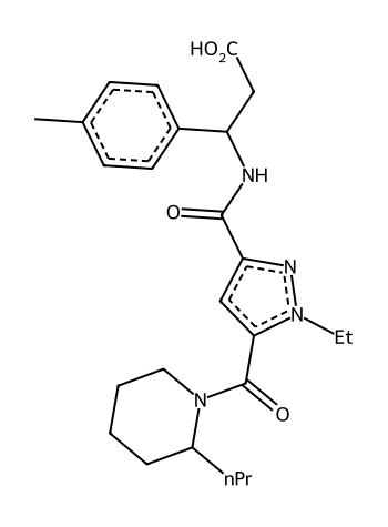 CCCC1CCCCN1C(=O)c1cc(C(=O)NC(CC(=O)O)c2ccc(C)cc2)nn1CC